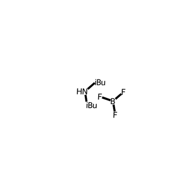 CCC(C)NC(C)CC.FB(F)F